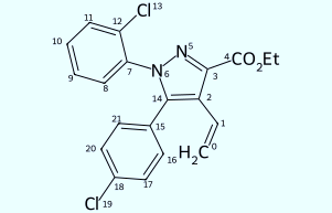 C=Cc1c(C(=O)OCC)nn(-c2ccccc2Cl)c1-c1ccc(Cl)cc1